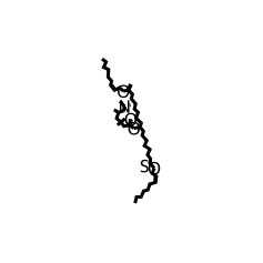 C=C(CCCCCCCC(CCCCCCCC(=S)OC/C=C\CCCCCC)OC(=O)CC(C)(C)CC(C)CN(C)C)OC/C=C\CCCCCC